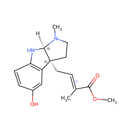 COC(=O)/C(C)=C/C[C@@]12CCN(C)[C@@H]1Nc1ccc(O)cc12